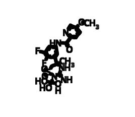 COc1ccc(C(=O)Nc2cc(F)c(F)c([C@]3(C)CS(=O)(=O)N(C(O)(O)O)C(=N)N3)c2)nc1